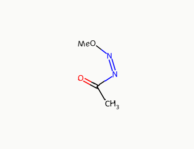 CO/N=N\C(C)=O